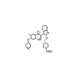 COc1ccc(COc2nn3ccccc3c2C(=O)Nc2cc(C)c(Oc3ccncc3)cc2C(C)C)cc1